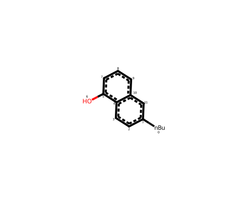 CCCCc1ccc2c(O)cccc2c1